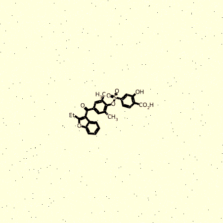 CCc1oc2ccccc2c1C(=O)c1cc(C)c(OS(=O)(=O)c2ccc(C(=O)O)c(O)c2)c(C)c1